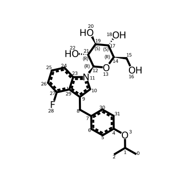 CC(C)Oc1ccc(Cc2cn([C@@H]3O[C@H](CO)[C@@H](O)[C@H](O)[C@H]3O)c3cccc(F)c23)cc1